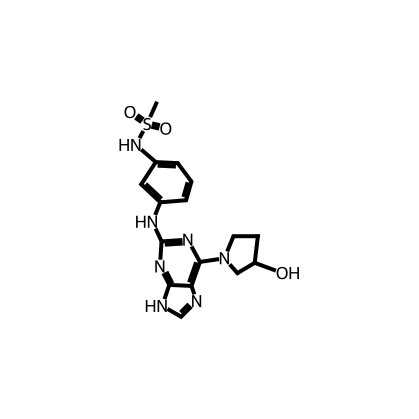 CS(=O)(=O)Nc1cccc(Nc2nc(N3CCC(O)C3)c3nc[nH]c3n2)c1